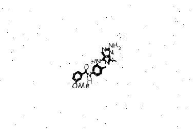 COc1cccc(C(=O)Nc2ccc(C)c(Nc3nn(C)c4nc(N)ncc34)c2)c1